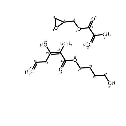 C=C(C)C(=O)OCC1CO1.C=CCC(O)=C(C)C(=O)OCCCCO